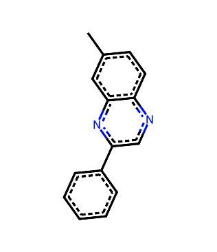 Cc1ccc2ncc(-c3ccccc3)nc2c1